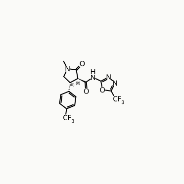 CN1C[C@@H](c2ccc(C(F)(F)F)cc2)[C@H](C(=O)Nc2nnc(C(F)(F)F)o2)C1=O